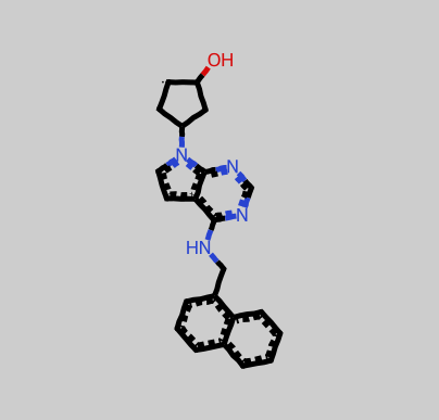 OC1[CH]CC(n2ccc3c(NCc4cccc5ccccc45)ncnc32)C1